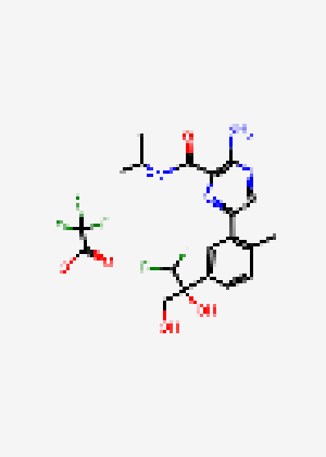 Cc1ccc([C@](O)(CO)C(F)F)cc1-c1cnc(N)c(C(=O)NC(C)C)n1.O=C(O)C(F)(F)F